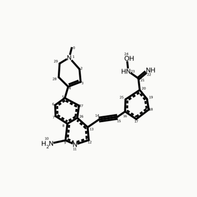 CN1CC=C(c2ccc3c(N)ncc(C#Cc4cccc(C(=N)NO)c4)c3c2)CC1